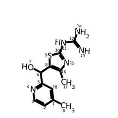 Cc1ccnc(C(O)c2sc(NC(=N)N)nc2C)c1